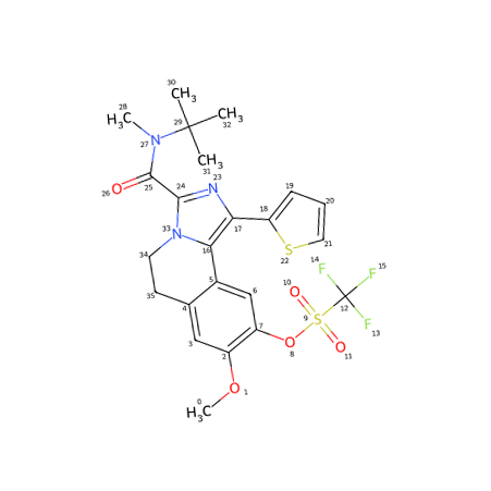 COc1cc2c(cc1OS(=O)(=O)C(F)(F)F)-c1c(-c3cccs3)nc(C(=O)N(C)C(C)(C)C)n1CC2